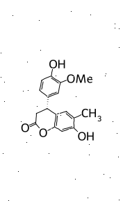 COc1cc([C@H]2CC(=O)Oc3cc(O)c(C)cc32)ccc1O